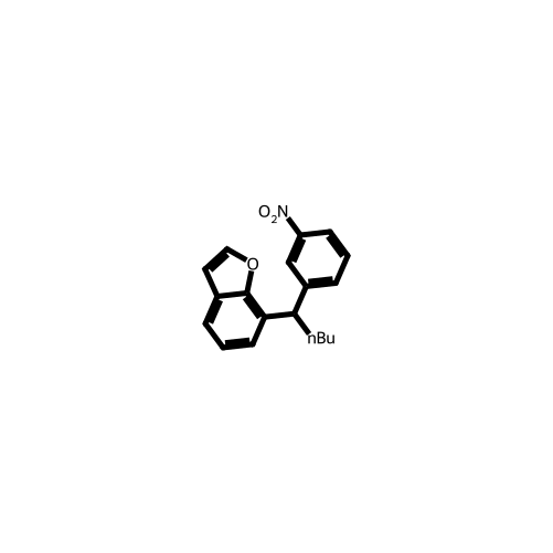 CCCCC(c1cccc([N+](=O)[O-])c1)c1cccc2ccoc12